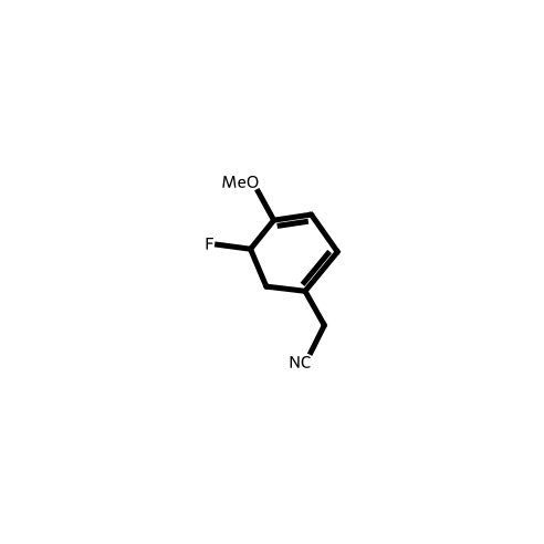 COC1=CC=C(CC#N)CC1F